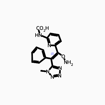 Cn1nnnc1/C(=C(\ON)c1cccc(NC(=O)O)n1)c1ccccc1